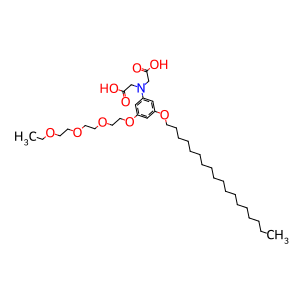 CCCCCCCCCCCCCCCCCCOc1cc(OCCOCCOCCOCC)cc(N(CC(=O)O)CC(=O)O)c1